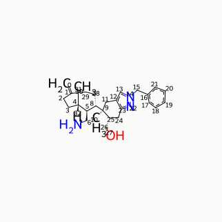 C=C1CC[C@H]2[C@H](CN)[C@@H]([C@@]3(C)Cc4cn(Cc5ccccc5)nc4C[C@@H]3CO)CC[C@]12C